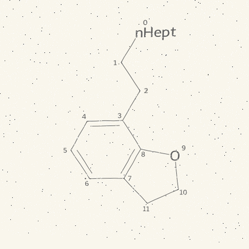 CCCCCCCCCc1cc[c]c2c1OCC2